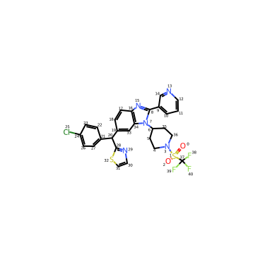 O=S(=O)(N1CCC(n2c(-c3cccnc3)nc3ccc(C(c4ccc(Cl)cc4)c4nccs4)cc32)CC1)C(F)(F)F